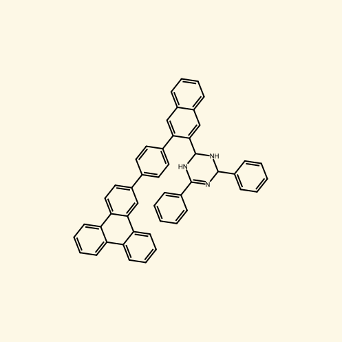 c1ccc(C2=NC(c3ccccc3)NC(c3cc4ccccc4cc3-c3ccc(-c4ccc5c6ccccc6c6ccccc6c5c4)cc3)N2)cc1